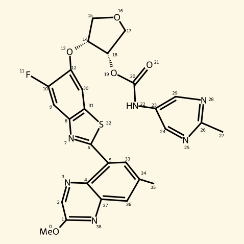 COc1cnc2c(-c3nc4cc(F)c(O[C@@H]5COC[C@@H]5OC(=O)Nc5cnc(C)nc5)cc4s3)cc(C)cc2n1